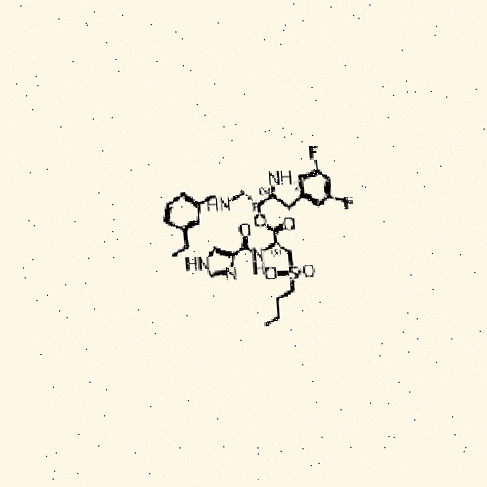 CCCCS(=O)(=O)C[C@@H](NC(=O)c1c[nH]cn1)C(=O)O[C@H](CNCc1cccc(CC)c1)[C@@H](N)Cc1cc(F)cc(F)c1